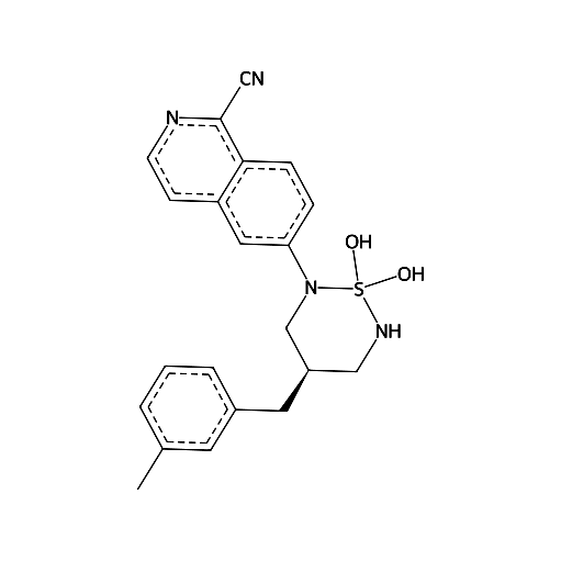 Cc1cccc(C[C@@H]2CNS(O)(O)N(c3ccc4c(C#N)nccc4c3)C2)c1